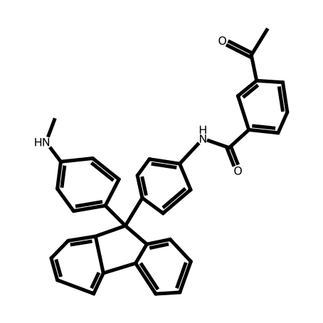 CNc1ccc(C2(c3ccc(NC(=O)c4cccc(C(C)=O)c4)cc3)c3ccccc3-c3ccccc32)cc1